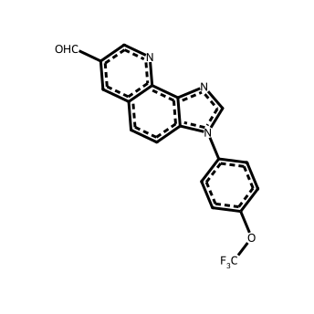 O=Cc1cnc2c(ccc3c2ncn3-c2ccc(OC(F)(F)F)cc2)c1